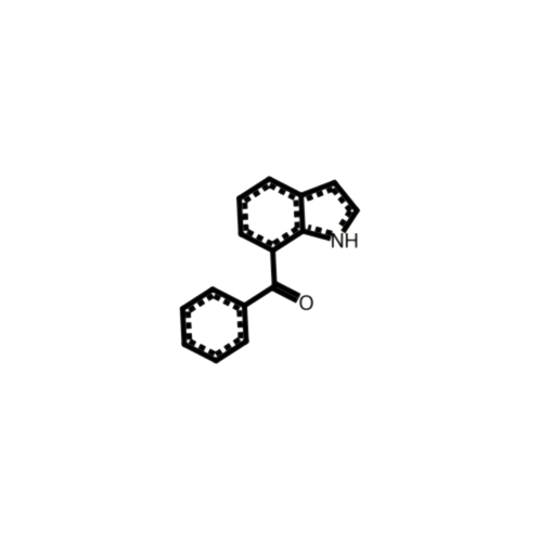 O=C(c1ccccc1)c1cccc2cc[nH]c12